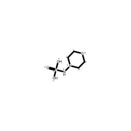 O=P(O)(O)NN1CCOCC1